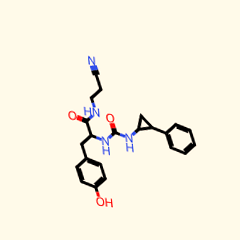 N#CCCNC(=O)C(Cc1ccc(O)cc1)NC(=O)NC1CC1c1ccccc1